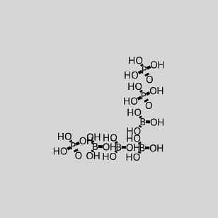 O=P(O)(O)O.O=P(O)(O)O.O=P(O)(O)O.OB(O)O.OB(O)O.OB(O)O.OB(O)O